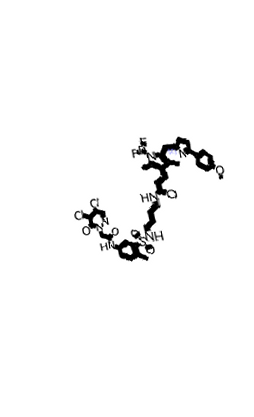 COc1ccc(C2=N/C(=C\c3c(C)c(CCC(=O)NCCCCNS(=O)(=O)c4cc(NC(=O)Cn5ncc(Cl)c(Cl)c5=O)ccc4C)c(C)n3B(F)F)C=C2)cc1